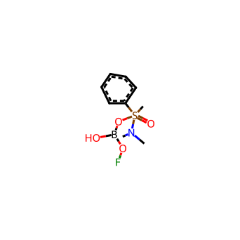 CN(C)S(C)(=O)(OB(O)OF)c1ccccc1